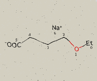 CCOCCCC(=O)[O-].[Na+]